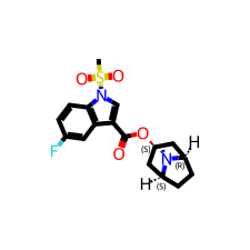 CN1[C@@H]2CC[C@H]1C[C@H](OC(=O)c1cn(S(C)(=O)=O)c3ccc(F)cc13)C2